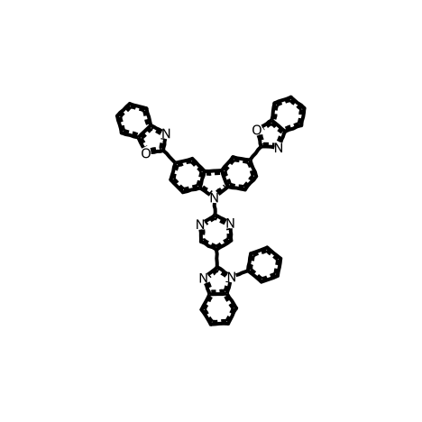 c1ccc(-n2c(-c3cnc(-n4c5ccc(-c6nc7ccccc7o6)cc5c5cc(-c6nc7ccccc7o6)ccc54)nc3)nc3ccccc32)cc1